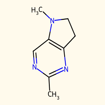 Cc1ncc2c(n1)CCN2C